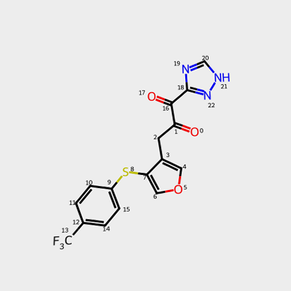 O=C(Cc1cocc1Sc1ccc(C(F)(F)F)cc1)C(=O)c1nc[nH]n1